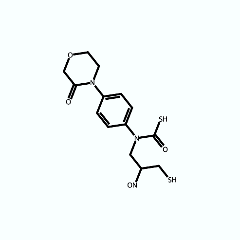 O=NC(CS)CN(C(=O)S)c1ccc(N2CCOCC2=O)cc1